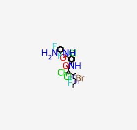 C/C(=C(F)\C(Br)=C/C(C)F)C1C(C(=O)Nc2ccc(Cl)c(C(=O)Nc3ccc(F)c(N)c3F)c2)C1(Cl)Cl